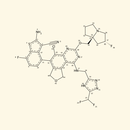 N#Cc1c(N)sc2c(F)ccc(-c3c4c(c5c(NCc6nnc(C(F)F)[nH]6)nc(OC[C@@]67CCCN6C[C@H](F)C7)nc5c3Cl)COC4)c12